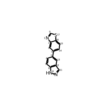 c1nc2cc(-c3ccc4[nH]ncc4c3)ccc2s1